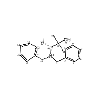 CC[C@@H](N(Cc1ccccc1)Cc1ccccc1)C(C)(C)O